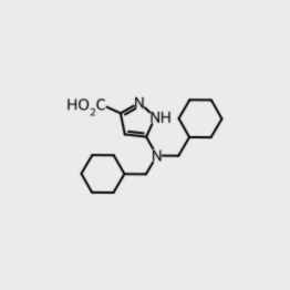 O=C(O)c1cc(N(CC2CCCCC2)CC2CCCCC2)[nH]n1